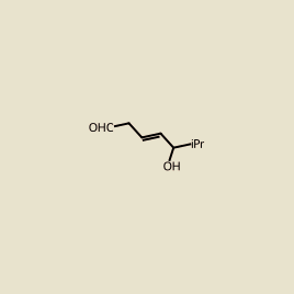 CC(C)C(O)C=CCC=O